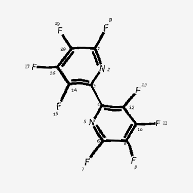 Fc1nc(-c2nc(F)c(F)c(F)c2F)c(F)c(F)c1F